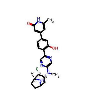 Cc1cc(-c2ccc(-c3cnc(N(C)[C@@H]4CC5CC[C@H](N5)[C@@H]4F)cn3)c(O)c2)cc(=O)[nH]1